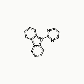 c1cnc(-n2c3ccccc3c3ccccc32)nc1